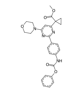 COC(=O)C1(c2cc(N3CCOCC3)nc(-c3ccc(NC(=O)Oc4ccccc4)cc3)n2)CC1